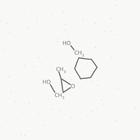 C1CCCCC1.CC1CO1.CO.CO